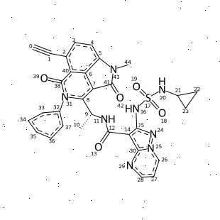 C#Cc1ccc2c3c(c([C@@H](C)NC(=O)c4c(NS(=O)(=O)NC5CC5)nn5cccnc45)n(-c4ccccc4)c(=O)c13)C(=O)N2C